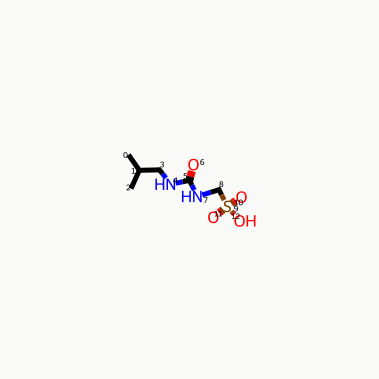 CC(C)CNC(=O)NCS(=O)(=O)O